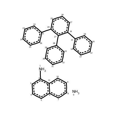 N.Nc1cccc2ccccc12.c1ccc(-c2cccc(-c3ccccc3)c2-c2ccccc2)cc1